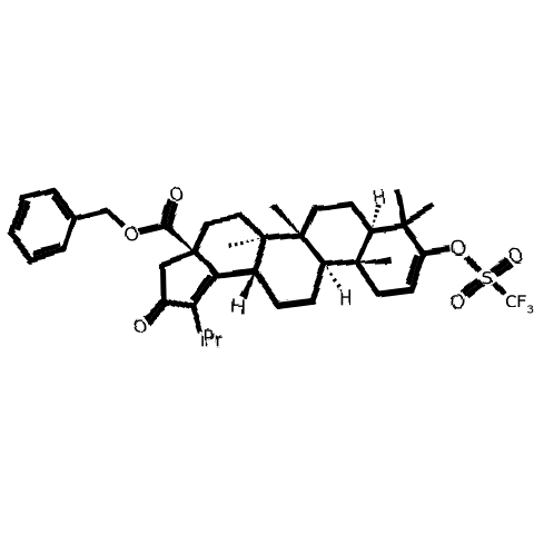 CC(C)C1=C2[C@H]3CC[C@@H]4[C@@]5(C)CC=C(OS(=O)(=O)C(F)(F)F)C(C)(C)[C@@H]5CC[C@@]4(C)[C@]3(C)CC[C@@]2(C(=O)OCc2ccccc2)CC1=O